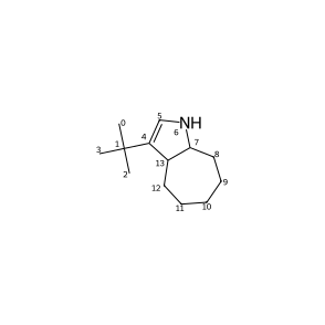 CC(C)(C)C1=CNC2CCCCCC12